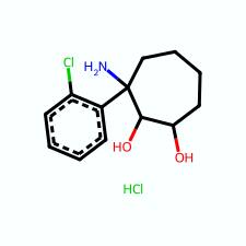 Cl.NC1(c2ccccc2Cl)CCCCC(O)C1O